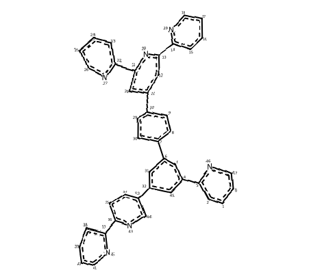 c1ccc(-c2cc(-c3ccc(-c4cc(-c5ccccn5)nc(-c5ccccn5)c4)cc3)cc(-c3ccc(-c4ccccn4)nc3)c2)nc1